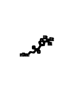 CCCCCCCCCCCCP1(=O)OC1c1coc([Si](CC)(CC)CC)c1